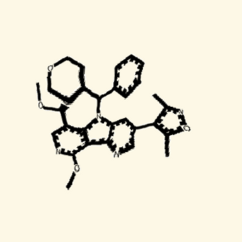 COC(=O)c1cnc(OC)c2c3ncc(-c4c(C)noc4C)cc3n(C(c3ccccc3)C3CCOCC3)c12